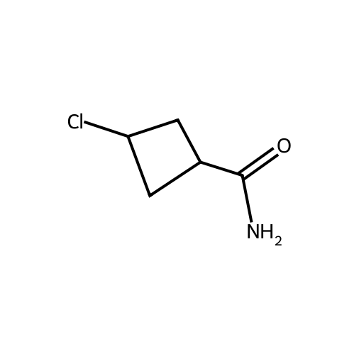 NC(=O)C1CC(Cl)C1